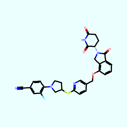 N#Cc1ccc(N2CCC(Sc3ccc(COc4cccc5c4CN([C@H]4CCC(=O)NC4=O)C5=O)cn3)C2)c(F)c1